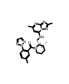 Cc1ccc(-n2nccn2)c(C(=O)N2CCC[C@@H](C)[C@H]2CNc2cc(C)nc3nc(C)nn23)c1